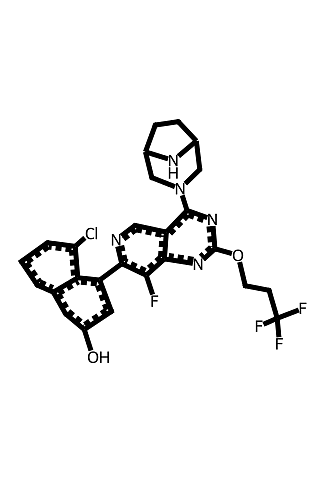 Oc1cc(-c2ncc3c(N4CC5CCC(C4)N5)nc(OCCC(F)(F)F)nc3c2F)c2c(Cl)cccc2c1